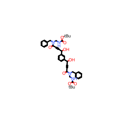 CC(C)(C)OC(=O)NCN(Cc1ccccc1)C(=O)C#CC(O)c1cccc(C(O)C#CC(=O)N(CNC(=O)OC(C)(C)C)Cc2ccccc2)c1